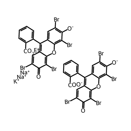 CCOC(=O)c1ccccc1-c1c2cc(Br)c(=O)c(Br)c-2oc2c(Br)c([O-])c(Br)cc12.O=C([O-])c1ccccc1-c1c2cc(Br)c(=O)c(Br)c-2oc2c(Br)c([O-])c(Br)cc12.[K+].[Na+].[Na+]